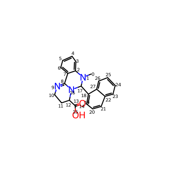 CN1c2ccccc2C2=NCCC(C(=O)O)N2C1c1cccc2ccccc12